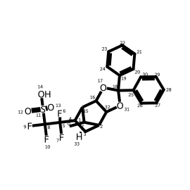 C[C@@H]1C2CC(C(F)(F)C(F)(F)S(=O)(=O)O)C1C1OC(c3ccccc3)(c3ccccc3)OC12